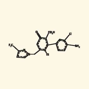 CCn1c(Cn2ccc(C(F)(F)F)n2)cc(=O)c(C(=O)O)c1-c1ccc(N)c(Cl)c1